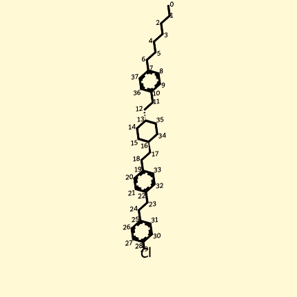 CCCCCCCc1ccc(CC[C@H]2CC[C@H](CCc3ccc(CCc4ccc(Cl)cc4)cc3)CC2)cc1